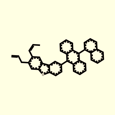 C=CCc1cc2oc3ccc(-c4c5ccccc5c(-c5cccc6ccccc56)c5ccccc45)cc3c2cc1/C=C\C